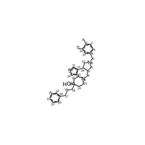 Cc1ccc(CN2CC(CN3CCC(O)(CCCc4ccccc4)CC3)C(c3ccsc3)C2)cc1C